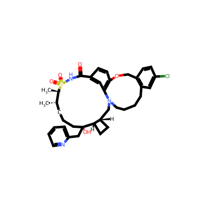 C[C@@H]1[C@@H](C)CCC[C@@](O)(Cc2ccccn2)[C@@H]2CC[C@H]2CN2CCCCc3cc(Cl)ccc3COc3ccc(cc32)C(=O)NS1(=O)=O